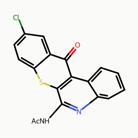 CC(=O)Nc1nc2ccccc2c2c(=O)c3cc(Cl)ccc3sc12